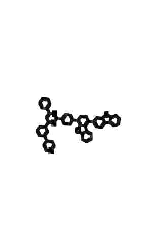 c1ccc(-c2cc(-c3cccc(-c4ccncc4)c3)nc(-c3ccc(-c4ccc(-c5ccc6c(c5)sc5ccccc56)c5c4oc4ccccc45)cc3)n2)cc1